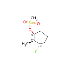 C[C@H]1[C@@H](OS(C)(=O)=O)CCC[C@@H]1F